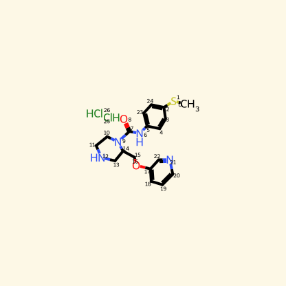 CSc1ccc(NC(=O)N2CCNCC2COc2cccnc2)cc1.Cl.Cl